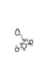 c1cncc(CCNc2nc(-c3cccs3)ncc2-n2cccn2)c1